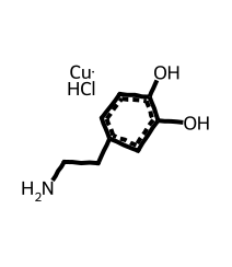 Cl.NCCc1ccc(O)c(O)c1.[Cu]